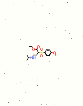 CCOC(=O)C(CCNC(C)C)S(=O)(=O)c1ccc(OC)cc1